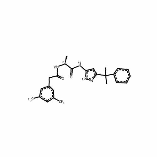 C[C@H](NC(=O)Cc1cc(C(F)(F)F)cc(C(F)(F)F)c1)C(=O)Nc1cc(C(C)(C)c2ccccc2)n[nH]1